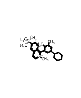 Cc1cc(C2CCCCC2)cc(-c2c3ccc([Si](C)(C)C)cc3cc[n+]2C)c1C